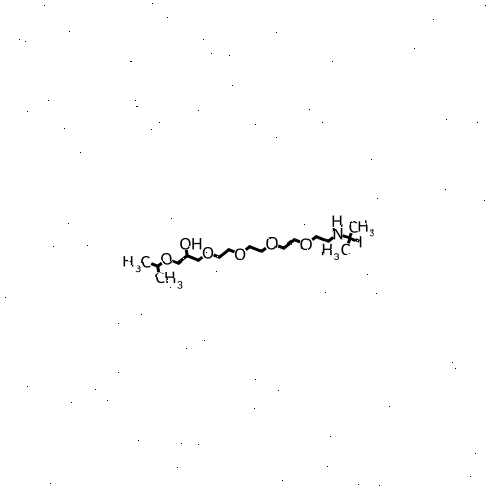 CC(C)OCC(O)COCCOCCOCCOCCNC(C)(C)I